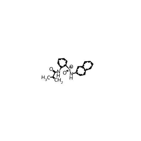 C=C(C)C(=O)Nc1ccccc1S(=O)(=O)Nc1ccc2ccccc2c1